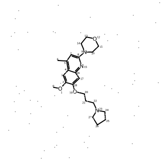 COc1cc2c(C)cc(N3CCOCC3)nc2cc1OCCCN1CCCC1